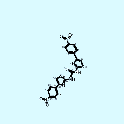 O=C(Nc1nc(-c2ccc([N+](=O)[O-])cc2)cs1)Nc1nc(-c2ccc([N+](=O)[O-])cc2)cs1